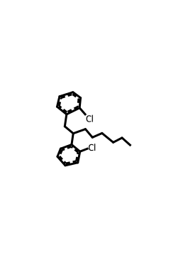 CCCCCCC(Cc1ccccc1Cl)c1ccccc1Cl